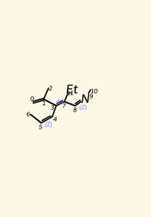 C=C(C)C(/C=C\C)=C(/C=N\C)CC